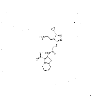 C=CCn1c(SCC(=O)Nc2sc3c(c2C(N)=O)CCCC3)nnc1C1CC1